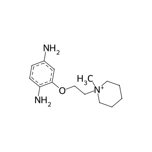 C[N+]1(CCOc2cc(N)ccc2N)CCCCC1